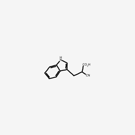 N#CC(Cc1c[nH]c2ccccc12)C(=O)O